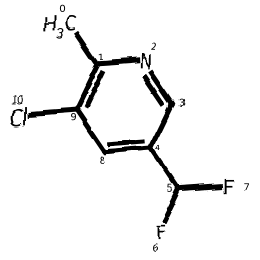 Cc1ncc(C(F)F)cc1Cl